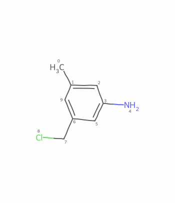 Cc1cc(N)cc(CCl)c1